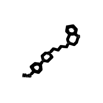 COc1ccc(N2CCN(CCCCN3CCOc4ccccc4C3)CC2)cc1